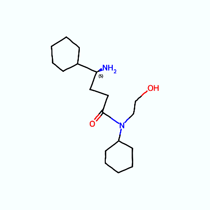 N[C@@H](CCC(=O)N(CCO)C1CCCCC1)C1CCCCC1